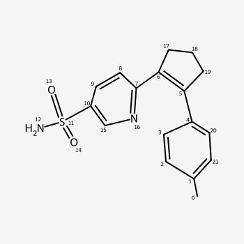 Cc1ccc(C2=C(c3ccc(S(N)(=O)=O)cn3)CCC2)cc1